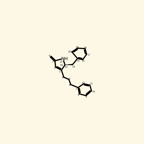 C=C1C=C(CCCc2ccccc2)[C@H](Cc2ccccc2)N1